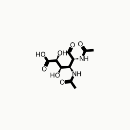 CC(=O)N[C@@H]([C@@H](O)[C@H](O)C(=O)O)[C@H](C=O)NC(C)=O